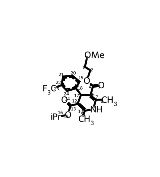 COCCOC(=O)C1=C(C)NC(C)=C(C(=O)OC(C)C)C1c1cccc(C(F)(F)F)c1